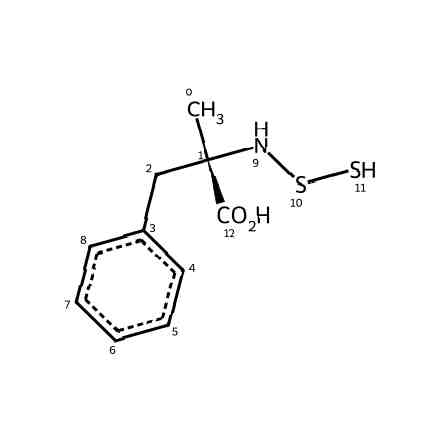 C[C@@](Cc1ccccc1)(NSS)C(=O)O